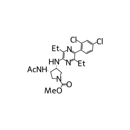 CCc1nc(-c2ccc(Cl)cc2Cl)c(CC)nc1N[C@@H]1CN(C(=O)OC)C[C@@H]1NC(C)=O